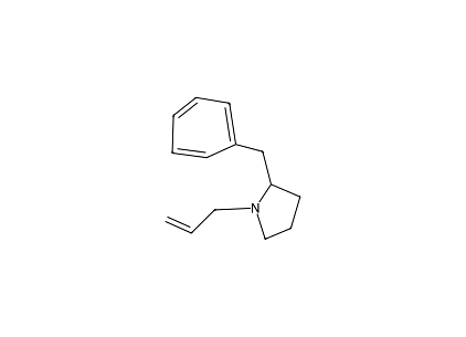 C=CCN1CCCC1Cc1ccccc1